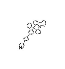 c1ccc(C2(c3ccc(-c4ccc(-c5ccncc5)cc4)cc3)c3ccccc3-n3c4ccccc4c4cccc2c43)cc1